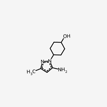 Cc1cc(N)n(C2CCC(O)CC2)n1